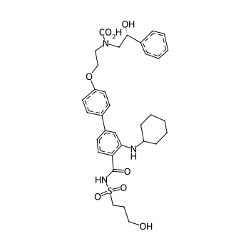 O=C(NS(=O)(=O)CCCO)c1ccc(-c2ccc(OCCN(C[C@H](O)c3ccccc3)C(=O)O)cc2)cc1NC1CCCCC1